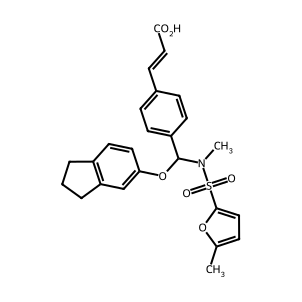 Cc1ccc(S(=O)(=O)N(C)C(Oc2ccc3c(c2)CCC3)c2ccc(C=CC(=O)O)cc2)o1